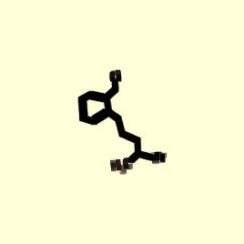 CC(C)C(C)CCCc1ccccc1CCl